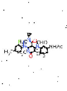 CC(=O)Nc1cccc(N(C=O)c2c(C(=O)N(C)C3CC3)c(Nc3ccc(C)cc3F)n(C)c(=O)c2C)c1